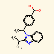 CC(C)c1nc2ccccc2n1C(C)c1ccc(C(=O)O)cc1